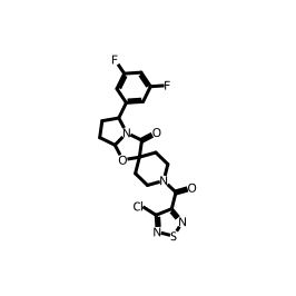 O=C(c1nsnc1Cl)N1CCC2(CC1)OC1CCC(c3cc(F)cc(F)c3)N1C2=O